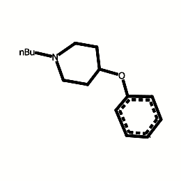 CCCCN1CCC(Oc2cc[c]cc2)CC1